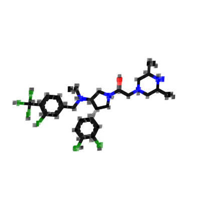 CC1CN(CC(=O)N2C[C@H](c3ccc(Cl)c(Cl)c3)[C@@H](N(C)Cc3ccc(C(F)(F)F)c(F)c3)C2)CC(C)N1